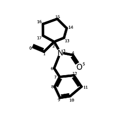 C=CC1(N(C=O)Cc2ccccc2)CCCCC1